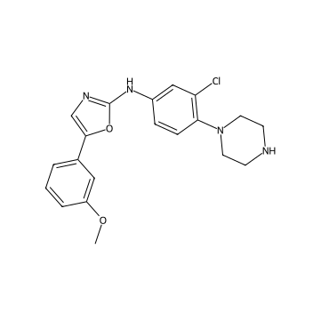 COc1cccc(-c2cnc(Nc3ccc(N4CCNCC4)c(Cl)c3)o2)c1